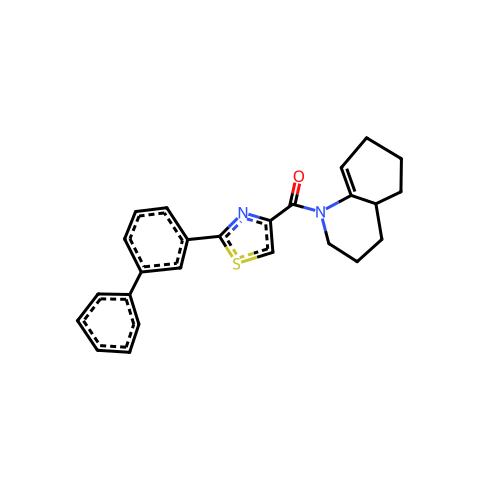 O=C(c1csc(-c2cccc(-c3ccccc3)c2)n1)N1CCCC2CCCC=C21